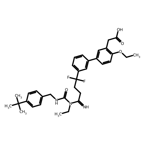 CCOc1ccc(-c2cccc(C(F)(F)CCC(=N)N(CC)C(=O)NCc3ccc(C(C)(C)C)cc3)c2)cc1CC(=O)O